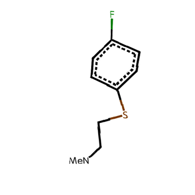 CNCCSc1ccc(F)cc1